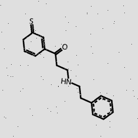 O=C(CCNCCc1ccccc1)C1=CC(=S)CC=C1